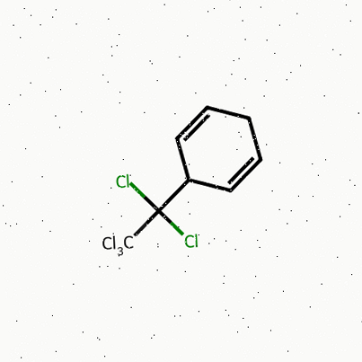 ClC(Cl)(Cl)C(Cl)(Cl)C1C=CCC=C1